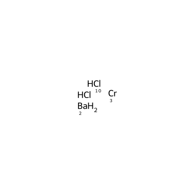 Cl.Cl.[BaH2].[Cr]